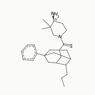 CCCC1C2CC3(C(=S)N4CC[C@H](N)C(C)(C)C4)CC1CC(c1ccccc1)(C2)C3